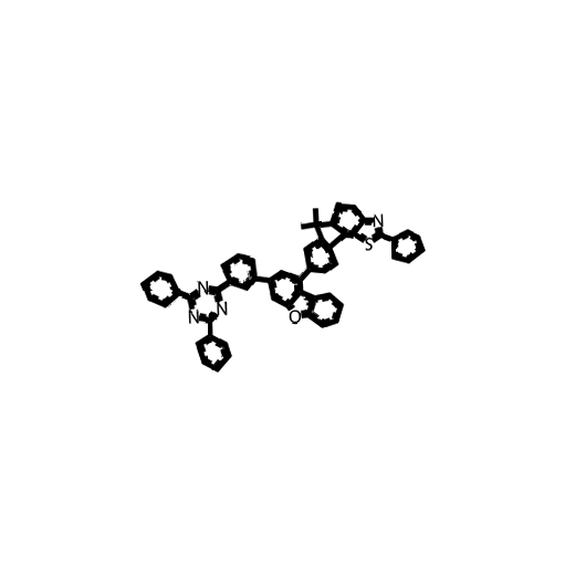 CC1(C)c2cc(-c3cc(-c4cccc(-c5nc(-c6ccccc6)nc(-c6ccccc6)n5)c4)cc4oc5ccccc5c34)ccc2-c2c1ccc1nc(-c3ccccc3)sc21